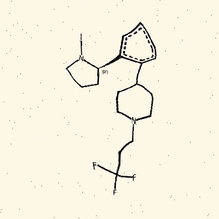 FC(F)(F)CCN1CCC(c2ccccc2[C@H]2CCCN2I)CC1